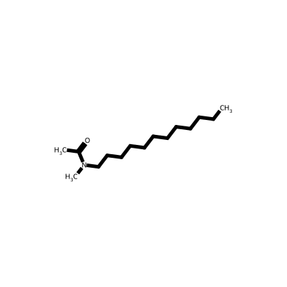 CCCCCCCCCCCCN(C)C(C)=O